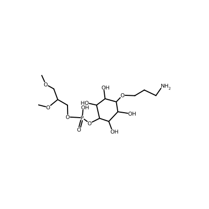 COCC(COP(=O)(O)OC1C(O)C(O)C(OCCCN)C(O)C1O)OC